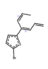 C=C/C=C(\C=C/C)c1ccc(Br)s1